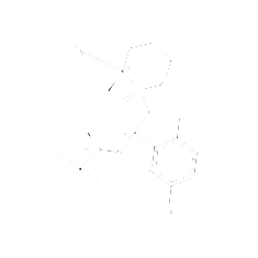 CC(C)(C)[S@@+]([O-])N[C@@](C)(C[SH]1(=O)NCCC[C@@]1(C)C#N)c1nc(Br)ccc1F